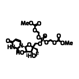 C=C1NC(=O)C=CN1[C@@H]1O[C@](CF)(COP(=O)(OCOC(=O)OC)OCOC(=O)OC)[C@@H](O)[C@@]1(C)O